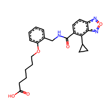 O=C(O)CCCCCOc1ccccc1CNC(=O)c1ccc2nonc2c1C1CC1